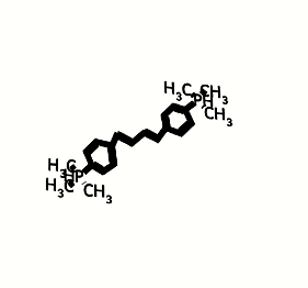 C[PH](C)(C)c1ccc(C=CC=Cc2ccc([PH](C)(C)C)cc2)cc1